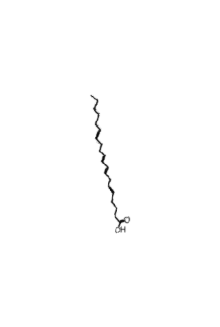 CCCCCC=CCCC=CC=CCC=CCCCC(=O)O